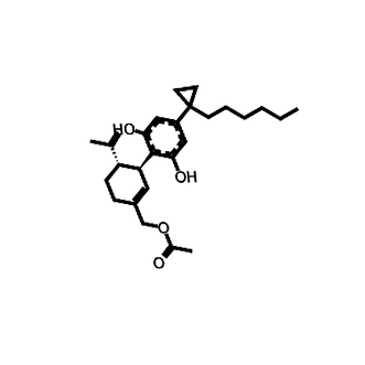 C=C(C)[C@H]1CCC(COC(C)=O)=C[C@@H]1c1c(O)cc(C2(CCCCCC)CC2)cc1O